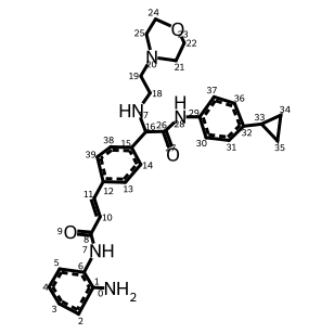 Nc1ccccc1NC(=O)C=Cc1ccc(C(NCCN2CCOCC2)C(=O)Nc2ccc(C3CC3)cc2)cc1